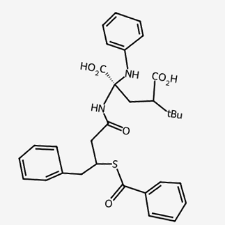 CC(C)(C)C(C[C@@](NC(=O)CC(Cc1ccccc1)SC(=O)c1ccccc1)(Nc1ccccc1)C(=O)O)C(=O)O